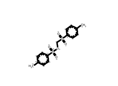 Cc1ccc(S(=O)(=O)COS(=O)(=O)c2ccc(C)cc2)cc1